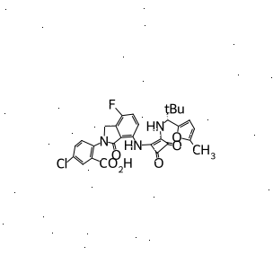 Cc1ccc([C@H](Nc2c(Nc3ccc(F)c4c3C(=O)N(c3ccc(Cl)cc3C(=O)O)C4)c(=O)c2=O)C(C)(C)C)o1